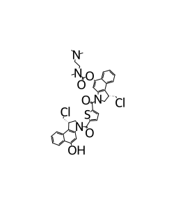 CN(C)CCN(C)C(=O)Oc1cc2c(c3ccccc13)[C@H](CCl)CN2C(=O)c1ccc(C(=O)N2C[C@@H](CCl)c3c2cc(O)c2ccccc32)s1